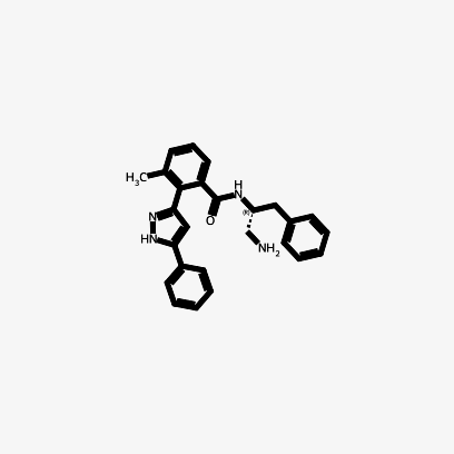 Cc1cccc(C(=O)N[C@@H](CN)Cc2ccccc2)c1-c1cc(-c2ccccc2)[nH]n1